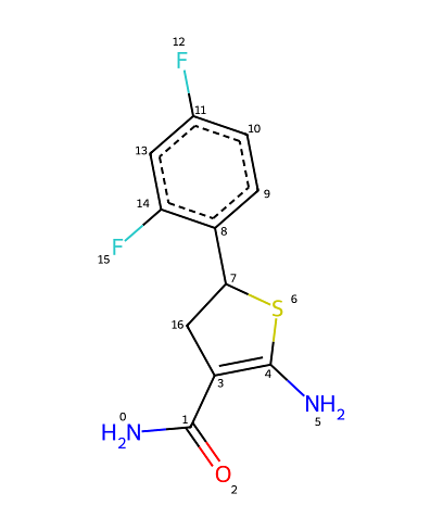 NC(=O)C1=C(N)SC(c2ccc(F)cc2F)C1